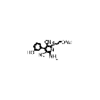 COCCSc1nc(N)c(C#N)c(-c2cccc(O)c2)c1C#N